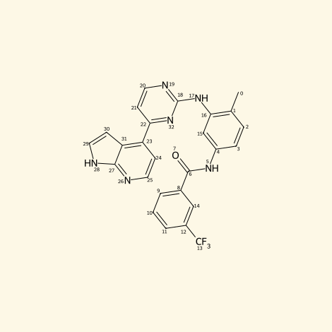 Cc1ccc(NC(=O)c2cccc(C(F)(F)F)c2)cc1Nc1nccc(-c2ccnc3[nH]ccc23)n1